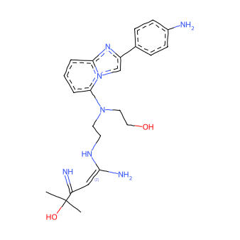 CC(C)(O)C(=N)/C=C(/N)NCCN(CCO)c1cccc2nc(-c3ccc(N)cc3)cn12